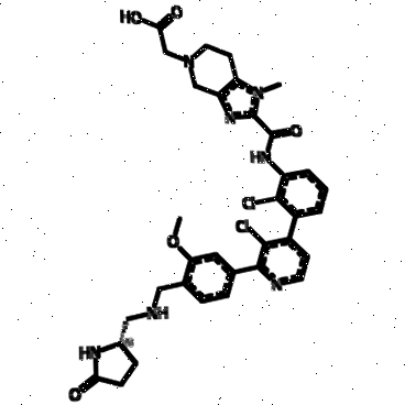 COc1cc(-c2nccc(-c3cccc(NC(=O)c4nc5c(n4C)CCN(CC(=O)O)C5)c3Cl)c2Cl)ccc1CNC[C@@H]1CCC(=O)N1